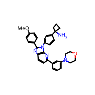 COc1ccc(-c2nc3ccc(-c4cccc(N5CCOCC5)c4)nc3n2-c2ccc(C3(N)CCC3)cc2)cc1